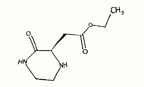 CCOC(=O)C[C@H]1NCCNC1=O